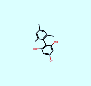 Cc1cc(C)c(-c2c(O)cc(O)cc2O)c(C)c1